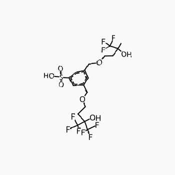 CC(O)(CCOCc1cc(COCCC(O)(C(F)(F)F)C(F)(F)F)cc(S(=O)(=O)O)c1)C(F)(F)F